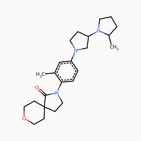 Cc1cc(N2CCC(N3CCCC3C)C2)ccc1N1CCC2(CCOCC2)C1=O